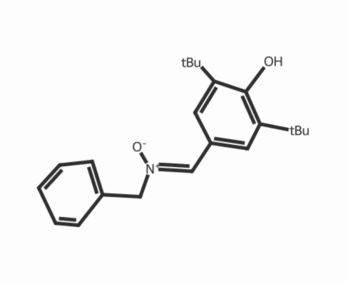 CC(C)(C)c1cc(C=[N+]([O-])Cc2ccccc2)cc(C(C)(C)C)c1O